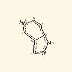 c1cc2nncc-2c[nH]1